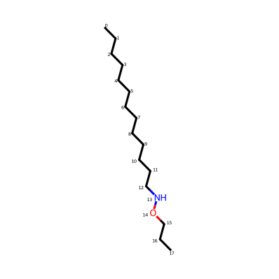 CCCCCCCCCCCCCNOCCC